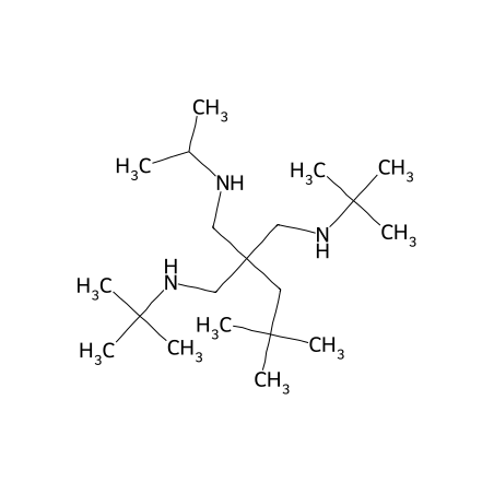 CC(C)NCC(CNC(C)(C)C)(CNC(C)(C)C)CC(C)(C)C